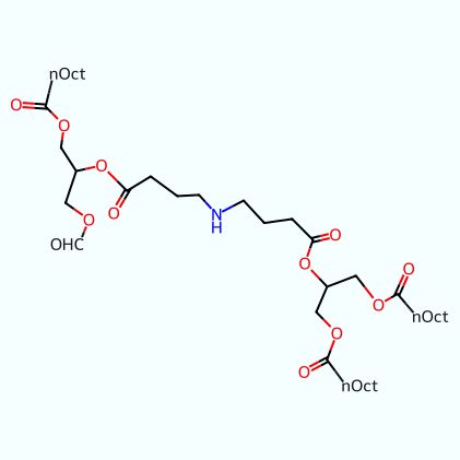 CCCCCCCCC(=O)OCC(COC=O)OC(=O)CCCNCCCC(=O)OC(COC(=O)CCCCCCCC)COC(=O)CCCCCCCC